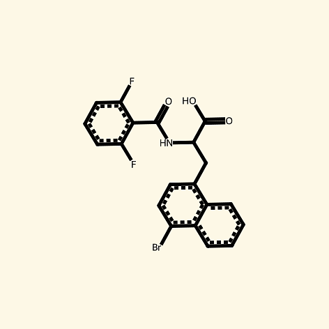 O=C(NC(Cc1ccc(Br)c2ccccc12)C(=O)O)c1c(F)cccc1F